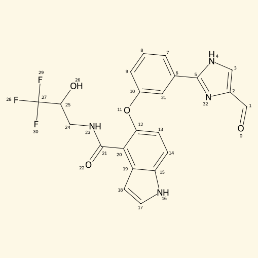 O=Cc1c[nH]c(-c2cccc(Oc3ccc4[nH]ccc4c3C(=O)NCC(O)C(F)(F)F)c2)n1